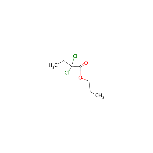 CCCOC(=O)C(Cl)(Cl)CC